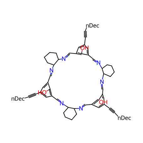 CCCCCCCCCCC#Cc1cc2c(O)c(c1)/C=N/C1CCCCC1/N=C/c1cc(C#CCCCCCCCCCC)cc(c1O)/C=N/C1CCCCC1/N=C/c1cc(C#CCCCCCCCCCC)cc(c1O)/C=N/C1CCCCC1/N=C/2